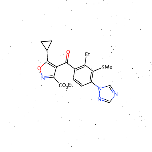 CCOC(=O)c1noc(C2CC2)c1C(=O)c1ccc(-n2cncn2)c(SC)c1CC